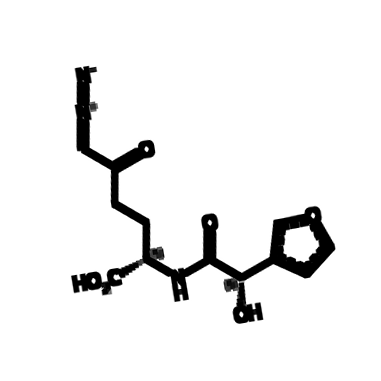 [N-]=[N+]=CC(=O)CC[C@H](NC(=O)[C@@H](O)c1ccoc1)C(=O)O